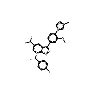 COc1cc(-c2nnc3n([C@@H](C)c4ccc(F)cc4)cc(C(F)F)cc2-3)ccc1-n1cnc(C)c1